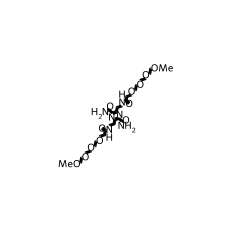 COCCOCCOCCOCCC(=O)NCCc1nc(C(N)=O)c(CCNC(=O)CCOCCOCCOCCOC)nc1C(N)=O